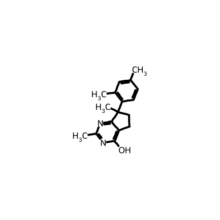 Cc1ccc(C2(C)CCc3c(O)nc(C)nc32)c(C)c1